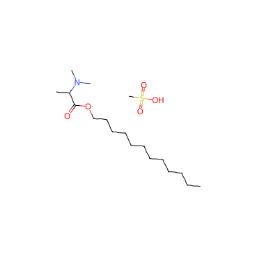 CCCCCCCCCCCCOC(=O)C(C)N(C)C.CS(=O)(=O)O